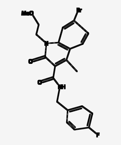 COCCn1c(=O)c(C(=O)NCc2ccc(F)cc2)c(C)c2ccc(Br)cc21